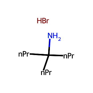 Br.CCCC(N)(CCC)CCC